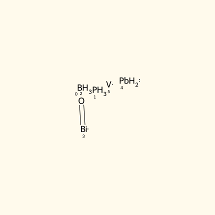 B.P.[O]=[Bi].[PbH2].[V]